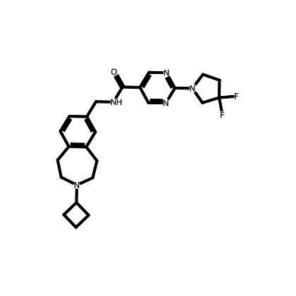 O=C(NCc1ccc2c(c1)CCN(C1CCC1)CC2)c1cnc(N2CCC(F)(F)C2)nc1